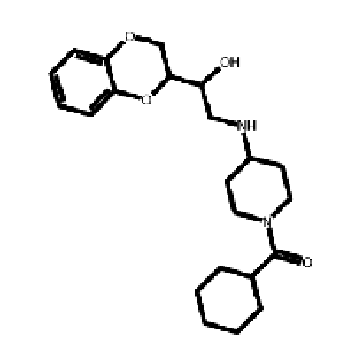 O=C(C1CCCCC1)N1CCC(NCC(O)C2COc3ccccc3O2)CC1